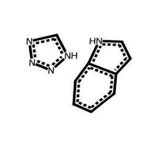 c1ccc2[nH]ccc2c1.c1nnn[nH]1